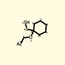 CC(=O)COC1(SS)CCCCC1